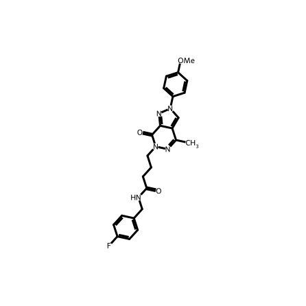 COc1ccc(-n2cc3c(C)nn(CCCC(=O)NCc4ccc(F)cc4)c(=O)c3n2)cc1